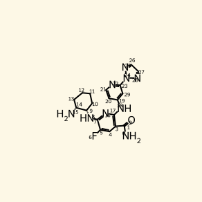 NC(=O)c1cc(F)c(N[C@H]2CCCC[C@H]2N)nc1Nc1ccnc(-n2nccn2)c1